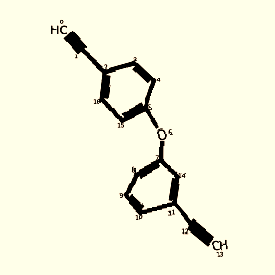 C#Cc1ccc(Oc2cccc(C#C)c2)cc1